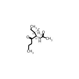 CCCC(=O)[C@@H](NC(C)=O)[C@@H](C)CC